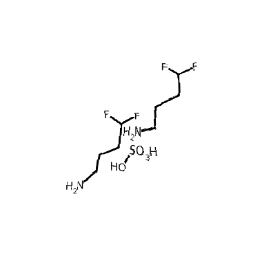 NCCCC(F)F.NCCCC(F)F.O=S(=O)(O)O